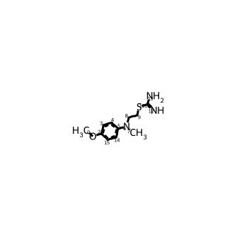 COc1ccc(N(C)CCSC(=N)N)cc1